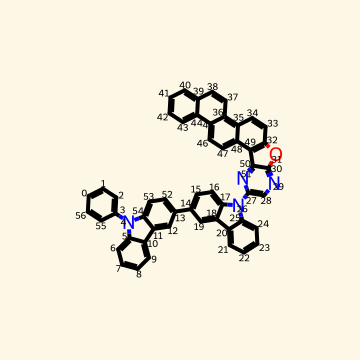 c1ccc(-n2c3ccccc3c3cc(-c4ccc5c(c4)c4ccccc4n5-c4cnc5oc6ccc7c8ccc9ccccc9c8ccc7c6c5n4)ccc32)cc1